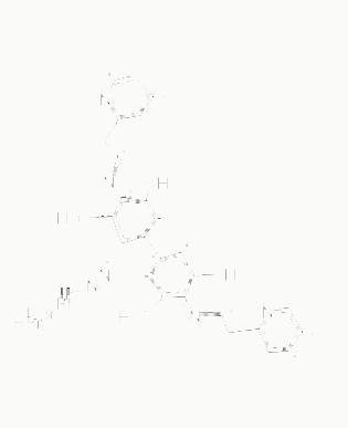 Br.Br.Br.Br.Cc1cc(-c2cc(C)c(N=CCc3ccccn3)c(C)c2)cc(C)c1N=CCc1ccccn1.[Ni].[Ni]